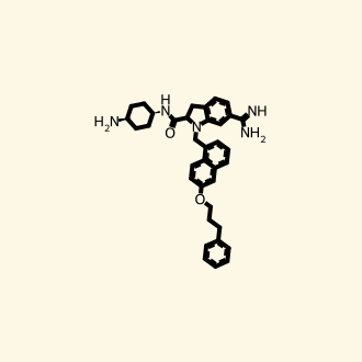 N=C(N)c1ccc2c(c1)N(Cc1cccc3cc(OCCCc4ccccc4)ccc13)C(C(=O)N[C@H]1CC[C@H](N)CC1)C2